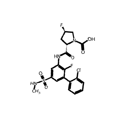 CNS(=O)(=O)c1cc(NC(=O)[C@@H]2C[C@@H](F)CN2C(=O)O)c(F)c(-c2ccccc2Cl)c1